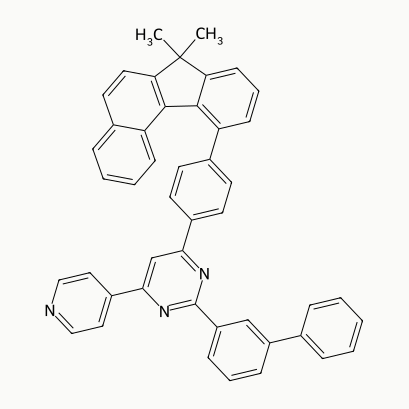 CC1(C)c2cccc(-c3ccc(-c4cc(-c5ccncc5)nc(-c5cccc(-c6ccccc6)c5)n4)cc3)c2-c2c1ccc1ccccc21